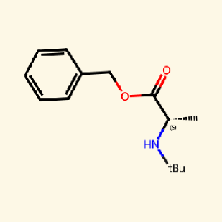 C[C@H](NC(C)(C)C)C(=O)OCc1ccccc1